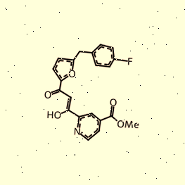 COC(=O)c1ccnc(C(O)=CC(=O)c2ccc(Cc3ccc(F)cc3)o2)c1